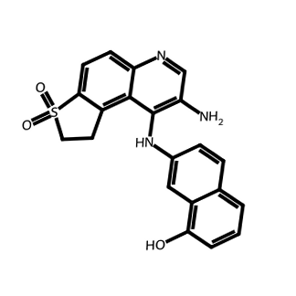 Nc1cnc2ccc3c(c2c1Nc1ccc2cccc(O)c2c1)CCS3(=O)=O